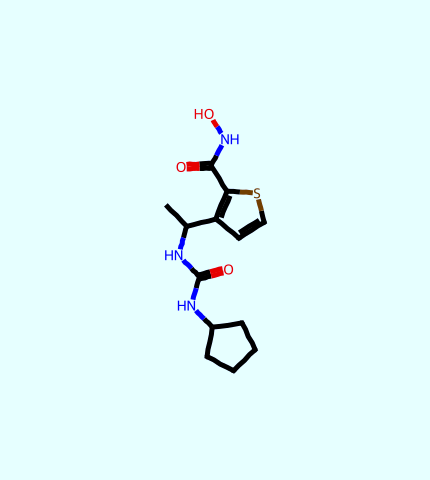 CC(NC(=O)NC1CCCC1)c1ccsc1C(=O)NO